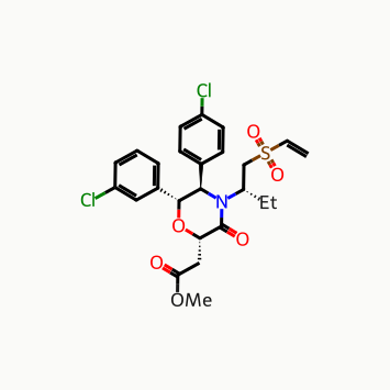 C=CS(=O)(=O)C[C@H](CC)N1C(=O)[C@H](CC(=O)OC)O[C@H](c2cccc(Cl)c2)[C@H]1c1ccc(Cl)cc1